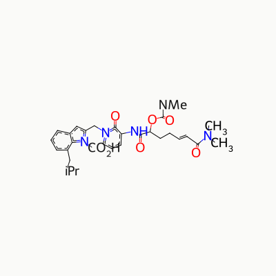 CNC(=O)OC(CCC=CC(=O)N(C)C)C(=O)Nc1cccn(Cc2cc3cccc(CC(C)C)c3n2C(=O)O)c1=O